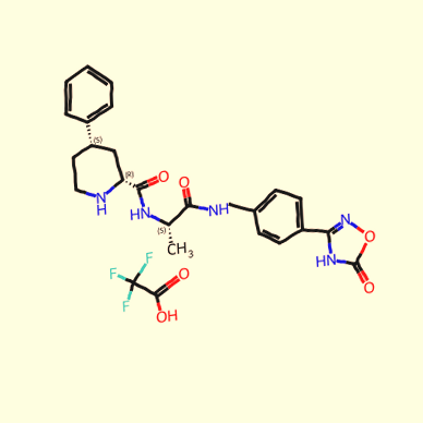 C[C@H](NC(=O)[C@H]1C[C@@H](c2ccccc2)CCN1)C(=O)NCc1ccc(-c2noc(=O)[nH]2)cc1.O=C(O)C(F)(F)F